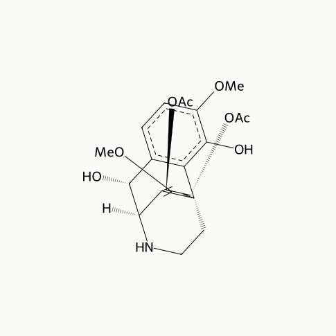 COC1=C2[C@H]3NCC[C@]2(C[C@@H](OC(C)=O)[C@@H]1OC(C)=O)c1c(ccc(OC)c1O)[C@H]3O